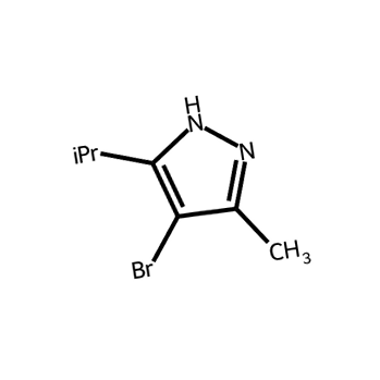 Cc1n[nH]c(C(C)C)c1Br